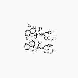 O=C(N[C@@H](CO)C(=O)O)c1nc(Cl)c2ccccc2c1O.O=C(N[C@H](CO)C(=O)O)c1nc(Cl)c2ccccc2c1O